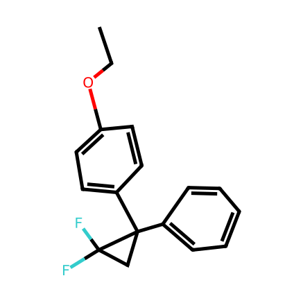 CCOc1ccc(C2(c3ccccc3)CC2(F)F)cc1